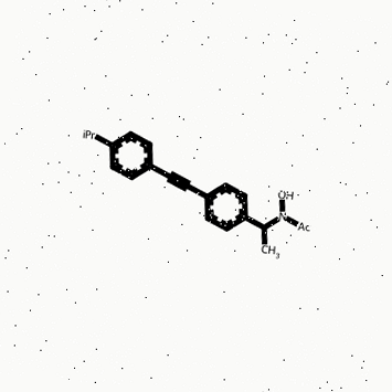 CC(=O)N(O)C(C)c1ccc(C#Cc2ccc(C(C)C)cc2)cc1